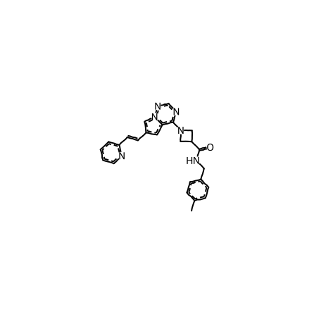 Cc1ccc(CNC(=O)C2CN(c3ncnn4cc(/C=C/c5ccccn5)cc34)C2)cc1